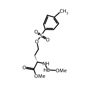 COBN[C@@H](CCOS(=O)(=O)c1ccc(C)cc1)C(=O)OC